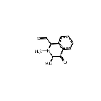 CN1C(O)C(=O)c2ccccc2C1C=O